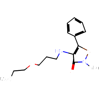 CCCCn1sc(-c2ccccc2)c(NCCCOCCOC)c1=O